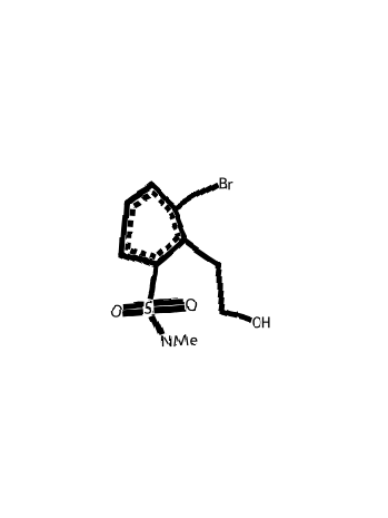 CNS(=O)(=O)c1cccc(Br)c1CCO